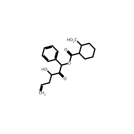 C=CCC(O)C(=O)C(OC(=O)C1CCCCC1C(=O)O)c1ccccc1